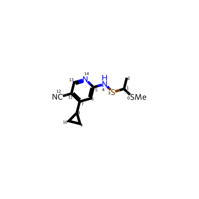 CSC(C)SNc1cc(C2CC2)c(C#N)cn1